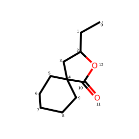 [CH2]CC1CC2(CCCCC2)C(=O)O1